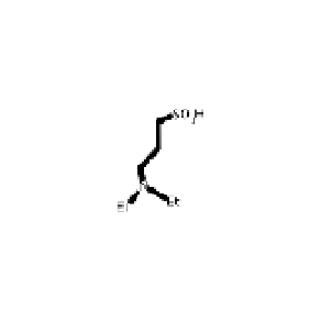 CCN([CH]CCS(=O)(=O)O)CC